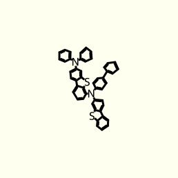 c1ccc(-c2ccc(N(c3ccc4c(c3)sc3ccccc34)c3cccc4c3sc3cc(N(c5ccccc5)c5ccccc5)ccc34)cc2)cc1